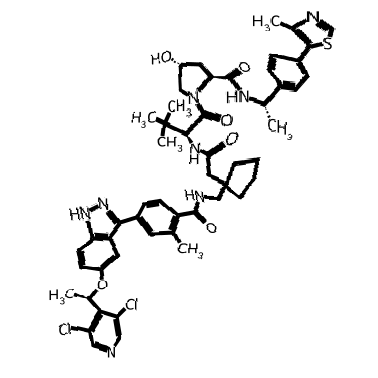 Cc1cc(-c2n[nH]c3ccc(O[C@H](C)c4c(Cl)cncc4Cl)cc23)ccc1C(=O)NCC1(CC(=O)N[C@H](C(=O)N2C[C@H](O)C[C@H]2C(=O)N[C@@H](C)c2ccc(-c3scnc3C)cc2)C(C)(C)C)CCCC1